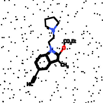 C#Cc1ccc2c(c1)c(C)c(OC(=O)OCC)n2CCN1CCCC1